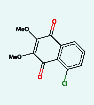 COC1=C(OC)C(=O)c2c(Cl)cccc2C1=O